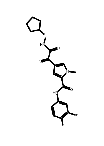 Cn1cc(C(=O)C(=O)NOC2CCCC2)cc1C(=O)Nc1ccc(F)c(F)c1